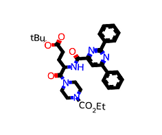 CCOC(=O)N1CCN(C(=O)C(CCC(=O)OC(C)(C)C)NC(=O)c2cc(-c3ccccc3)nc(-c3ccccc3)n2)CC1